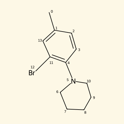 Cc1ccc(N2CCCCC2)c(Br)c1